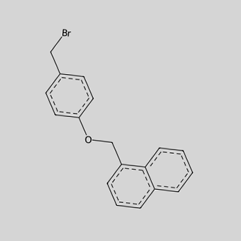 BrCc1ccc(OCc2cccc3ccccc23)cc1